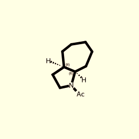 CC(=O)N1CC[C@H]2CCCCC[C@H]21